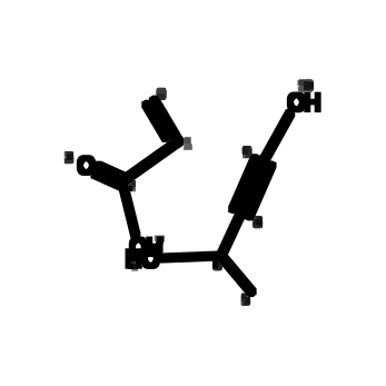 C=CC(=O)O.CC(O)C#CO